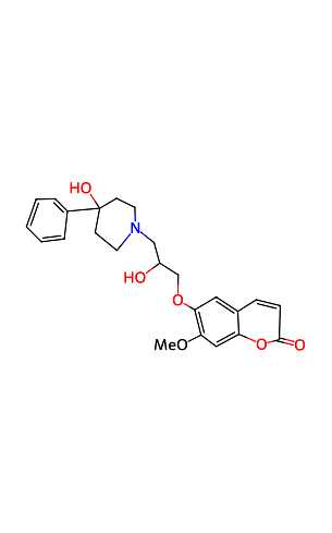 COc1cc2oc(=O)ccc2cc1OCC(O)CN1CCC(O)(c2ccccc2)CC1